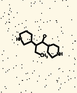 CCC(C1CCCNC1)C([O])C1CCNCC1